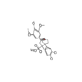 CCC(CC(=O)c1cc(OC)c(OC)c(OC)c1)(C1(c2ccc(Cl)c(Cl)c2)CCNC1)S(=O)(=O)O